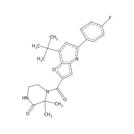 CC(C)(C)c1cc(-c2ccc(F)cc2)nc2cc(C(=O)N3CCNC(=O)C3(C)C)oc12